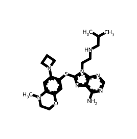 CC(C)CNCCn1c(Sc2cc3c(cc2N2CCC2)N(C)CCO3)nc2c(N)ncnc21